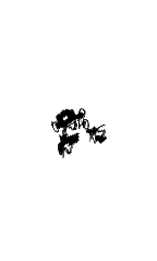 COc1cccc(C(=O)NOCc2csc(C)n2)c1NCc1ccncc1